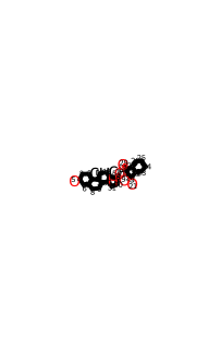 CC12CCC(=O)C=C1CCC1C2CCC2(C)C(OC3(O)C(=O)c4ccccc4C3=O)CCC12